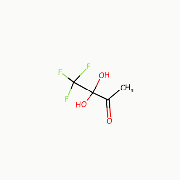 CC(=O)C(O)(O)C(F)(F)F